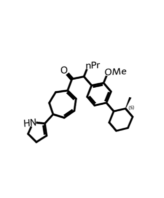 CCCC(C(=O)C1=CC=CC(C2=CCCN2)CC1)c1ccc(C2CCCC[C@@H]2C)cc1OC